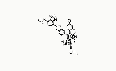 CC#C[C@@]1(O)CC[C@H]2[C@@H]3CCC4=CC(=O)CCC4=C3[C@@H](c3ccc(CNc4ccc([N+](=O)[O-])c5nonc45)cc3)C[C@@]21C